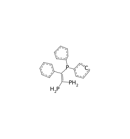 PC(P)=C(c1ccccc1)P(c1ccccc1)c1ccccc1